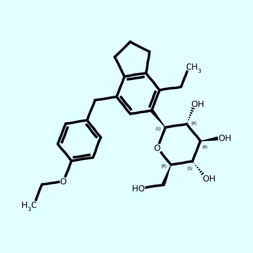 CCOc1ccc(Cc2cc([C@@H]3O[C@H](CO)[C@@H](O)[C@H](O)[C@H]3O)c(CC)c3c2CCC3)cc1